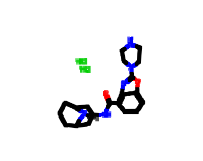 CN1C2CCCC1CC(NC(=O)c1cccc3oc(N4CCNCC4)nc13)C2.Cl.Cl